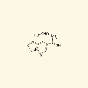 N=C(N)c1cnn2cccc2c1.O=CO